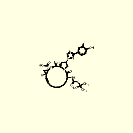 CC(C)(C)OC(=O)N[C@H]1CCCCC/C=C\[C@@H]2C[C@@]2(C(=O)O)NC(=O)[C@@H]2C[C@@H](n3nnc(-c4ccc(O)c(Cl)c4)n3)CN2C1=O